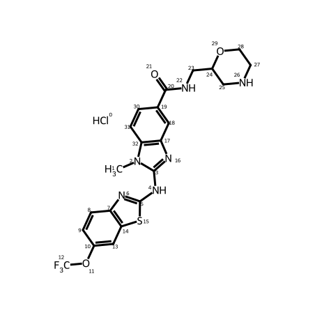 Cl.Cn1c(Nc2nc3ccc(OC(F)(F)F)cc3s2)nc2cc(C(=O)NCC3CNCCO3)ccc21